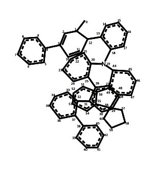 CC1C=C(c2ccccc2)C=CC1c1ccccc1N(c1ccccc1-c1ccccc1-c1ccccc1-c1ccccc1)c1cccc2c1-c1ccccc1C21CCCC1